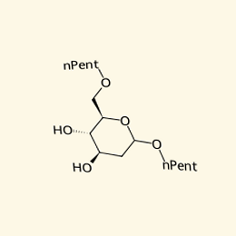 CCCCCOC[C@H]1OC(OCCCCC)C[C@@H](O)[C@@H]1O